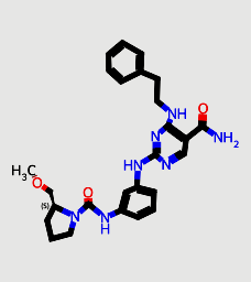 COC[C@@H]1CCCN1C(=O)Nc1cccc(Nc2ncc(C(N)=O)c(NCCc3ccccc3)n2)c1